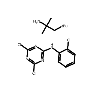 CC(C)(C)CC(C)(C)N.Clc1nc(Cl)nc(Nc2ccccc2Cl)n1